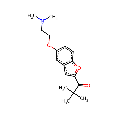 CN(C)CCOc1ccc2oc(C(=O)C(C)(C)C)cc2c1